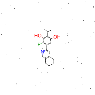 CC(C)c1c(O)cc(-c2cc3c(cn2)CCCC3)c(F)c1O